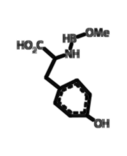 COBNC(Cc1ccc(O)cc1)C(=O)O